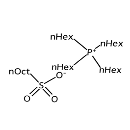 CCCCCCCCS(=O)(=O)[O-].CCCCCC[P+](CCCCCC)(CCCCCC)CCCCCC